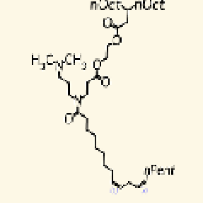 CCCCC/C=C\C/C=C\CCCCCCCC(=O)N(CCCN(C)C)CCC(=O)OCCOC(=O)CC(CCCCCCCC)CCCCCCCC